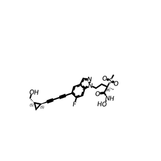 C[C@@](CCn1ncc2cc(C#CC#C[C@H]3C[C@@H]3CO)c(F)cc21)(C(=O)NO)S(C)(=O)=O